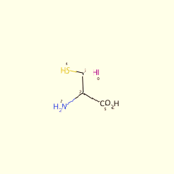 I.NC(CS)C(=O)O